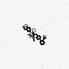 CCCc1nc(C)n(-c2ccc3c(c2)CC(C)O3)c(=O)c1Cc1ccc(-c2ccccc2C#N)cc1